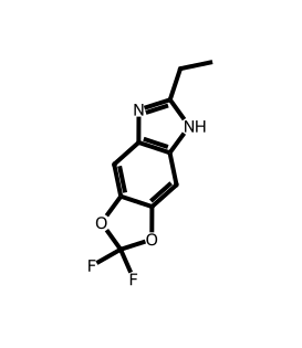 CCc1nc2cc3c(cc2[nH]1)OC(F)(F)O3